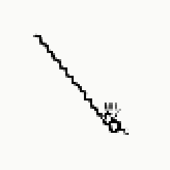 CCCCCCCCCCCCCCCCCCCCCN(Cc1ccc(O)cc1)C(N)=O